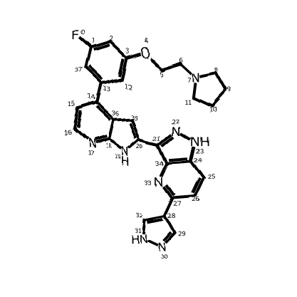 Fc1cc(OCCN2CCCC2)cc(-c2ccnc3[nH]c(-c4n[nH]c5ccc(-c6cn[nH]c6)nc45)cc23)c1